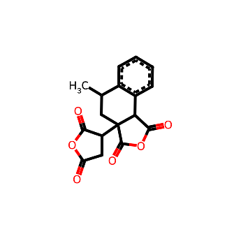 CC1CC2(C3CC(=O)OC3=O)C(=O)OC(=O)C2c2ccccc21